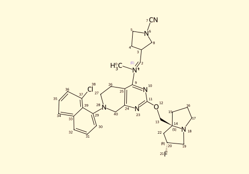 C/[N+](=C\C1CCN(C#N)C1)c1nc(OC[C@@]23CCCN2C[C@H](F)C3)nc2c1CCN(c1cccc3cccc(Cl)c13)C2